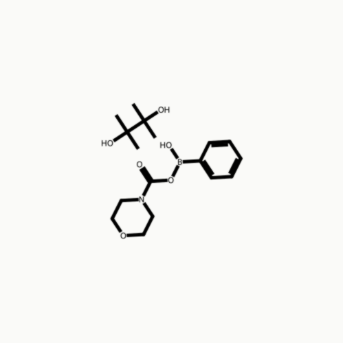 CC(C)(O)C(C)(C)O.O=C(OB(O)c1ccccc1)N1CCOCC1